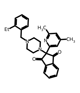 CCc1ccccc1CN1CCN(C2(c3cc(C)cc(C)n3)C(=O)c3ccccc3C2=O)CC1